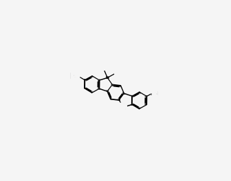 CC1(C)c2cc(Br)ccc2-c2cc3sc4ccc(Br)cc4c3cc21